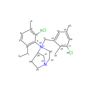 CCc1ccc(C)c(Cl)c1[N+]1(Cc2cc(C)cc(Cl)c2C)CCN2CCC1C2